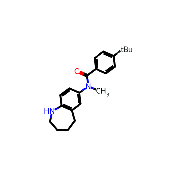 CN(C(=O)c1ccc(C(C)(C)C)cc1)c1ccc2c(c1)CCCCN2